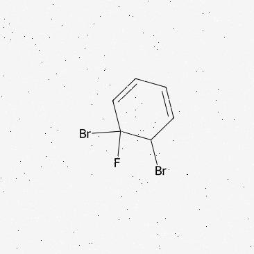 FC1(Br)C=CC=CC1Br